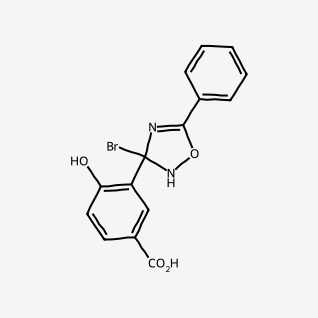 O=C(O)c1ccc(O)c(C2(Br)N=C(c3ccccc3)ON2)c1